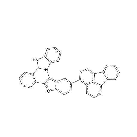 c1ccc2c(c1)NC1c3ccccc3-c3oc4ccc(-c5ccc6c7c(cccc57)-c5ccccc5-6)cc4c3N21